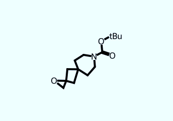 CC(C)(C)OC(=O)N1CCC2(CC1)CC1(CO1)C2